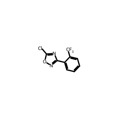 FC(F)(F)c1ccccc1-c1noc(Cl)n1